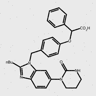 CCCCc1nc2ccc(N3CCCNC3=O)cc2n1Cc1ccc(OC(C(=O)O)c2ccccc2)cc1